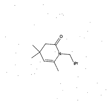 CC1=CC(C)(C)CC(=O)N1CC(C)C